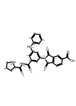 O=C(O)c1ccc2c(c1)C(=O)N(c1cc(Nc3ccccc3)cc(C(=O)NC(=O)C3CCCN3)c1)C2=O